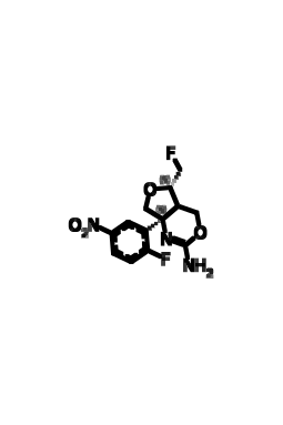 NC1=N[C@@]2(c3cc([N+](=O)[O-])ccc3F)CO[C@H](CF)C2CO1